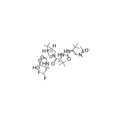 CN(C[C@@H](NC(=O)N[C@H](C(=O)N1C[C@H]2[C@@H]([C@H]1C(=O)N[C@@H](CC(F)F)C(=O)O)C2(C)C)C(C)(C)C)C(C)(C)C)[S+](C)[O-]